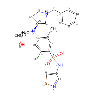 Cc1cc(S(=O)(=O)Nc2cnsc2)c(F)cc1N(C)[C@H]1CCN(Cc2ccccc2)C1.O=CO